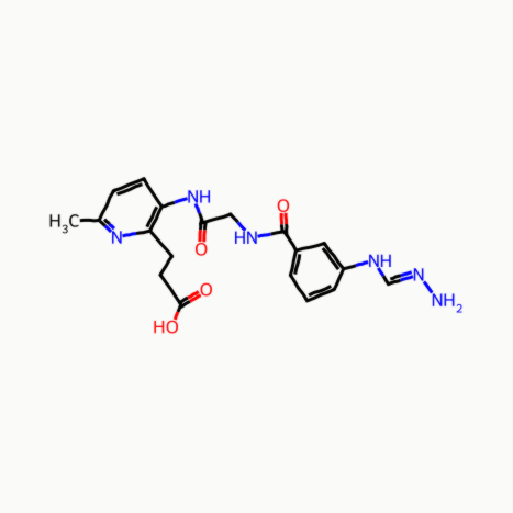 Cc1ccc(NC(=O)CNC(=O)c2cccc(NC=NN)c2)c(CCC(=O)O)n1